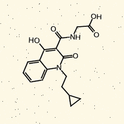 O=C(O)CNC(=O)c1c(O)c2ccccc2n(CCC2CC2)c1=O